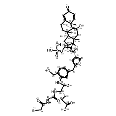 C[C@]12C=CC(=O)C=C1CC[C@H]1[C@@H]3C[C@H]4O[C@@H](c5coc(Cc6ccc(CO)c(NC(=O)[C@H](CCC(=O)O)NC(=O)CNC(=O)CBr)c6)c5)O[C@@]4(C(=O)COP(=O)(O)O)[C@@]3(C)C[C@H](O)[C@@]12F